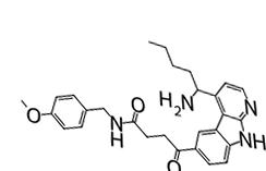 CCCCC(N)c1ccnc2[nH]c3ccc(C(=O)CCC(=O)NCc4ccc(OC)cc4)cc3c12